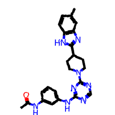 CC(=O)Nc1cccc(Nc2ncnc(N3CCC(c4nc5cc(C)ccc5[nH]4)CC3)n2)c1